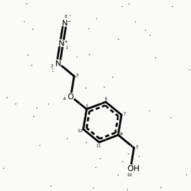 [N-]=[N+]=NCOc1ccc(CO)cc1